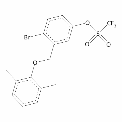 Cc1cccc(C)c1OCc1cc(OS(=O)(=O)C(F)(F)F)ccc1Br